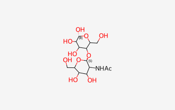 CC(=O)NC1C(O)C(O)C(CO)O[C@H]1OC1C(CO)O[C@@H](O)C(O)C1O